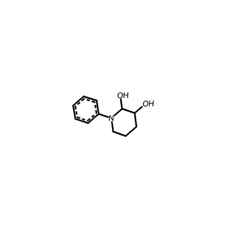 OC1CCCN(c2ccccc2)C1O